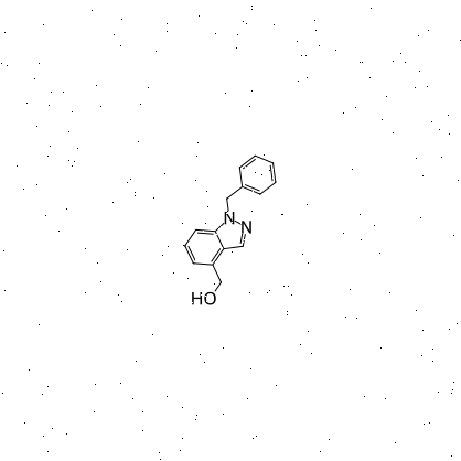 OCc1cccc2c1cnn2Cc1ccccc1